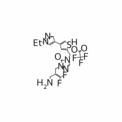 CCn1cc(-c2csc(Cn3cnn(CC(CN)=C(F)F)c3=O)c2)cn1.O=C(O)C(F)(F)F